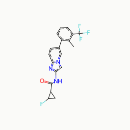 Cc1c(-c2ccc3nc(NC(=O)C4CC4F)cn3c2)cccc1C(F)(F)F